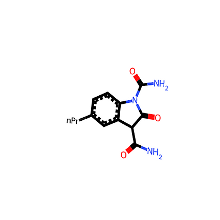 CCCc1ccc2c(c1)C(C(N)=O)C(=O)N2C(N)=O